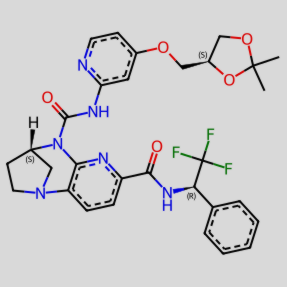 CC1(C)OC[C@H](COc2ccnc(NC(=O)N3c4nc(C(=O)N[C@H](c5ccccc5)C(F)(F)F)ccc4N4CC[C@H]3C4)c2)O1